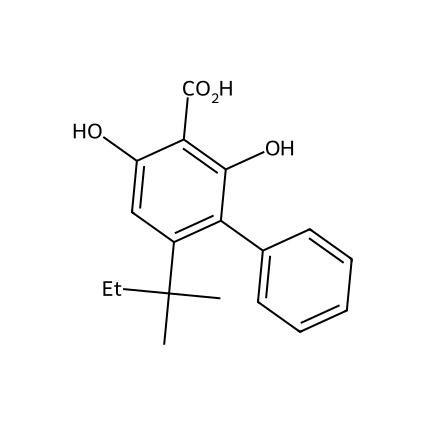 CCC(C)(C)c1cc(O)c(C(=O)O)c(O)c1-c1ccccc1